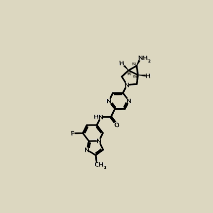 Cc1cn2cc(NC(=O)c3cnc(N4C[C@@H]5[C@@H](N)[C@@H]5C4)cn3)cc(F)c2n1